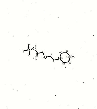 CC(C)(C)OC(=O)COCCN1CCNCC1